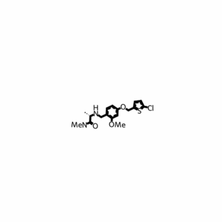 CNC(=O)[C@H](C)NCc1ccc(OCc2ccc(Cl)s2)cc1OC